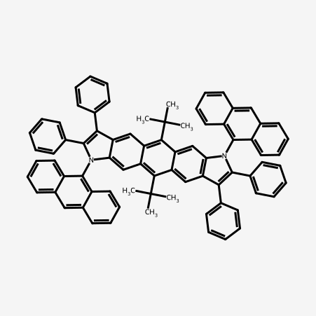 CC(C)(C)c1c2cc3c(-c4ccccc4)c(-c4ccccc4)n(-c4c5ccccc5cc5ccccc45)c3cc2c(C(C)(C)C)c2cc3c(-c4ccccc4)c(-c4ccccc4)n(-c4c5ccccc5cc5ccccc45)c3cc12